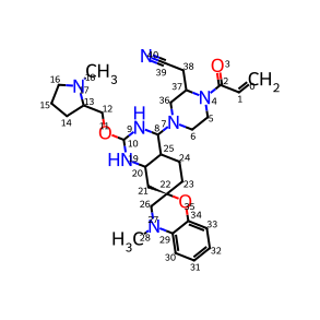 C=CC(=O)N1CCN(C2NC(OCC3CCCN3C)NC3C[C@]4(CCC32)CN(C)c2ccccc2O4)CC1CC#N